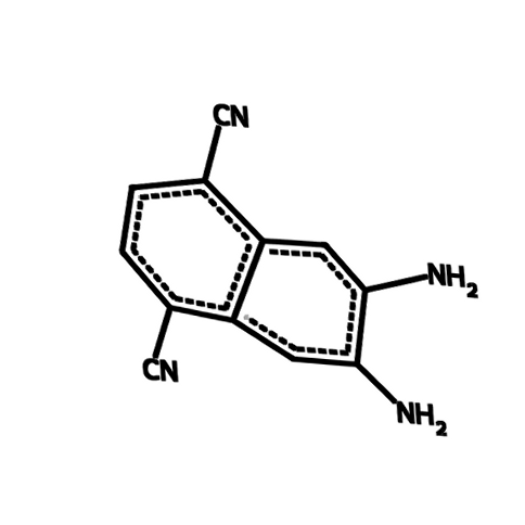 N#Cc1ccc(C#N)c2cc(N)c(N)cc12